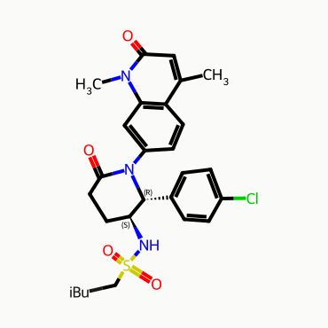 CCC(C)CS(=O)(=O)N[C@H]1CCC(=O)N(c2ccc3c(C)cc(=O)n(C)c3c2)[C@@H]1c1ccc(Cl)cc1